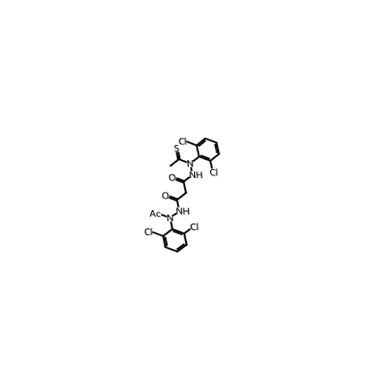 CC(=O)N(NC(=O)CC(=O)NN(C(C)=S)c1c(Cl)cccc1Cl)c1c(Cl)cccc1Cl